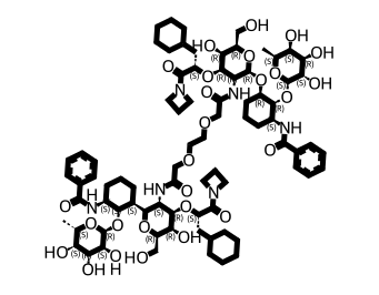 C[C@@H]1O[C@@H](O[C@@H]2[C@@H](NC(=O)c3ccccc3)CCC[C@H]2O[C@@H]2O[C@H](CO)[C@H](O)[C@H](O[C@@H](CC3CCCCC3)C(=O)N3CCC3)[C@H]2NC(=O)COCCOCC(=O)N[C@H]2C([C@@H]3CCC[C@H](NC(=O)c4ccccc4)[C@H]3O[C@@H]3O[C@@H](C)[C@@H](O)[C@@H](O)[C@@H]3O)O[C@H](CO)[C@H](O)[C@@H]2O[C@@H](CC2CCCCC2)C(=O)N2CCC2)[C@@H](O)[C@H](O)[C@@H]1O